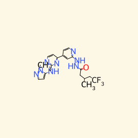 CC(CC(=O)NNc1cc(-c2ccnc(Nc3ccnn3C)n2)ccn1)CC(F)(F)F